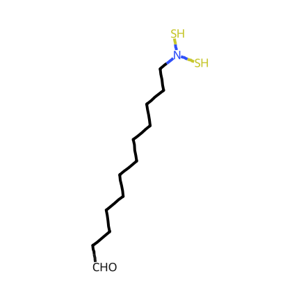 O=CCCCCCCCCCCCN(S)S